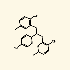 Cc1ccc(O)c(CC(Cc2cc(C)ccc2O)c2ccc(O)cc2)c1